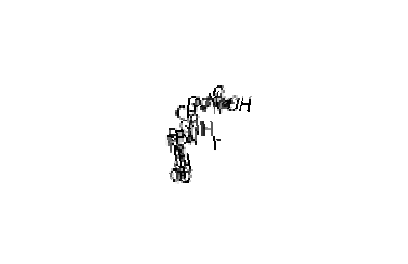 Cn1c(-c2cn(-c3ccc([N+](=O)[O-])cn3)nc2C(F)(F)F)cnc1C(=O)Nc1ccc(C(=O)N2CCN(C(=O)[C@@H]3C[C@@H](O)C[N+]3(C)C)CC2)c(Cl)c1.[I-]